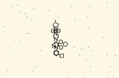 CC1CCN(S(=O)(=O)N2CCN(c3cnn(-c4cccc(Cl)c4)c(=O)c3OC3CCCC3)CC2)CC1